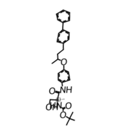 CC(CCc1ccc(-c2ccccc2)cc1)Oc1ccc(NC(=O)[C@](C)(CO)NC(=O)OC(C)(C)C)cc1